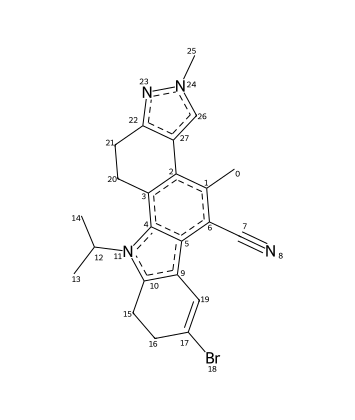 Cc1c2c(c3c(c1C#N)c1c(n3C(C)C)CCC(Br)=C1)CCc1nn(C)cc1-2